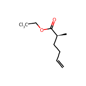 C=CCC[C@H](C)C(=O)OCC(Cl)(Cl)Cl